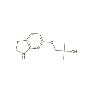 CC(C)(O)COc1ccc2c(c1)NCC2